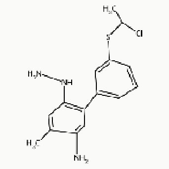 Cc1cc(NN)c(-c2cccc(SC(C)Cl)c2)cc1N